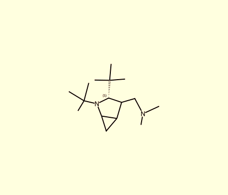 CN(C)CC1C2CC2N(C(C)(C)C)[C@@H]1C(C)(C)C